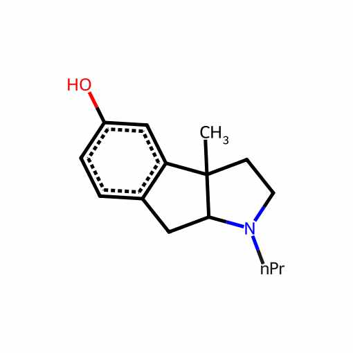 CCCN1CCC2(C)c3cc(O)ccc3CC12